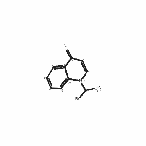 C[C](Br)n1ccc(=O)c2ccccc21